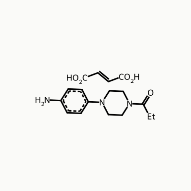 CCC(=O)N1CCN(c2ccc(N)cc2)CC1.O=C(O)C=CC(=O)O